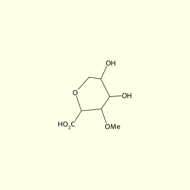 COC1C(C(=O)O)OCC(O)C1O